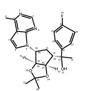 Cc1ncnc2c1ccn2[C@@H]1C[C@H](C(C)(O)c2ccc(F)cc2)[C@H]2OC(C)(C)O[C@H]21